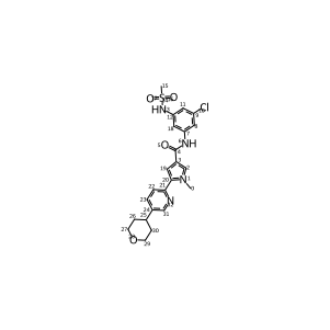 Cn1cc(C(=O)Nc2cc(Cl)cc(NS(C)(=O)=O)c2)cc1-c1ccc(C2CCOCC2)cn1